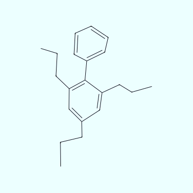 CCCc1cc(CCC)c(-c2ccccc2)c(CCC)c1